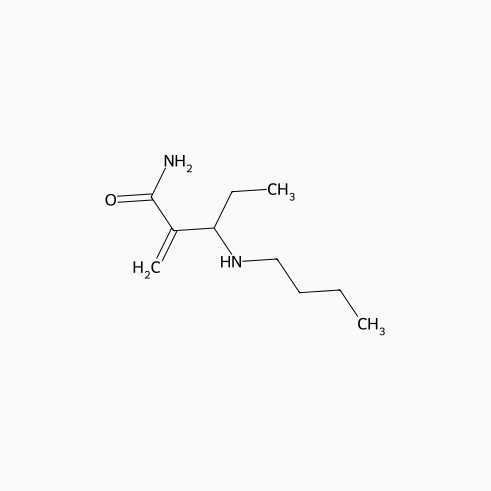 C=C(C(N)=O)C(CC)NCCCC